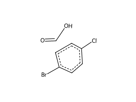 Clc1ccc(Br)cc1.O=CO